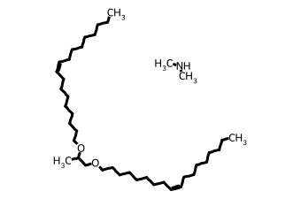 CCCCCCCC/C=C\CCCCCCCCOCC(C)OCCCCCCCC/C=C\CCCCCCCC.CNC